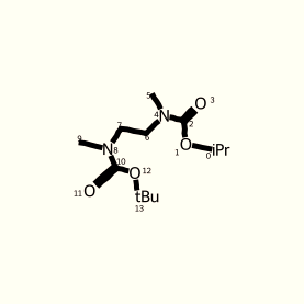 CC(C)OC(=O)N(C)CCN(C)C(=O)OC(C)(C)C